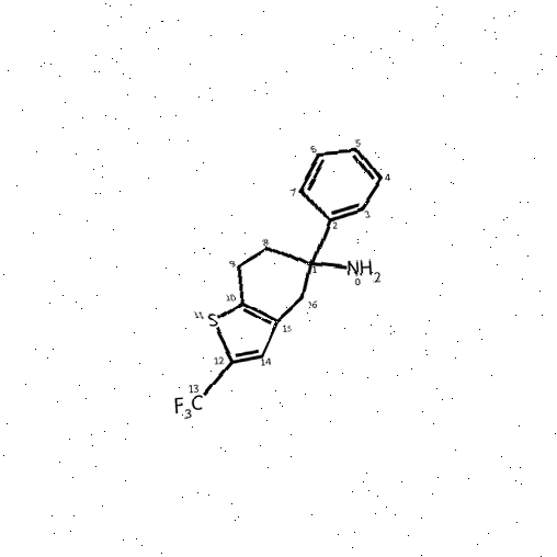 NC1(c2ccccc2)CCc2sc(C(F)(F)F)cc2C1